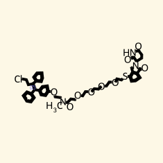 CN(CCOc1ccc(/C(=C(/CCCl)c2ccccc2)c2ccccc2)cc1)C(=O)CCOCCOCCOCCOCCSc1cccc2c1CN(C1CCC(=O)NC1=O)C2=O